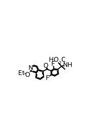 CCOc1nccc2c(C(=O)c3c(F)ccc(C(C)(C)NC(=O)O)c3F)cccc12